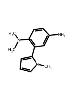 CN(C)c1ccc(N)cc1-c1cccn1C